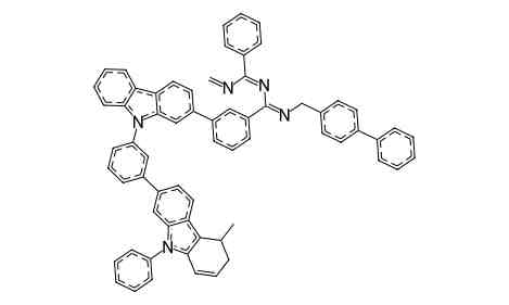 C=N/C(=N\C(=N/Cc1ccc(-c2ccccc2)cc1)c1cccc(-c2ccc3c4ccccc4n(-c4cccc(-c5ccc6c7c(n(-c8ccccc8)c6c5)C=CCC7C)c4)c3c2)c1)c1ccccc1